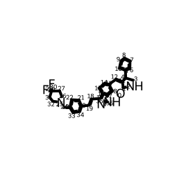 O=C1NCC(c2ccccc2)C1=Cc1ccc2c(/C=C/c3ccc(CN4CCC(F)(F)CC4)cc3)n[nH]c2c1